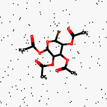 CC(=O)OC1OC(Br)C(OC(C)=O)C(OC(C)=O)C1OC(C)=O